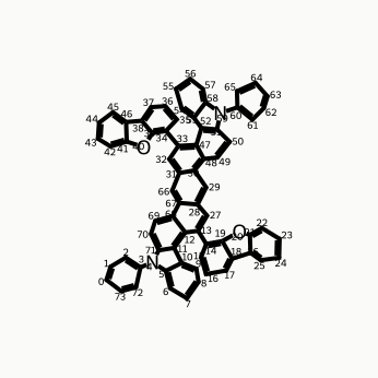 c1ccc(-n2c3ccccc3c3c4c(-c5cccc6c5oc5ccccc56)cc5cc6c(cc(-c7cccc8c7oc7ccccc78)c7c6ccc6c7c7ccccc7n6-c6ccccc6)cc5c4ccc32)cc1